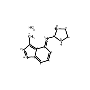 CC1=C2C(=CC=CC2=NC2NCCN2)N=N1.Cl